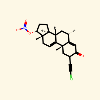 C[C@H]1C[C@@H]2C(=CC[C@]3(C)[C@H](O[N+](=O)[O-])CC[C@@H]23)[C@@]2(C)CC(C#CCl)C(=O)C=C12